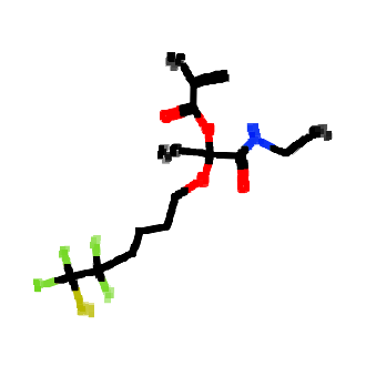 C=C(C(=O)OC(OCCCCC(F)(F)C(F)(F)S)(C(=O)NCC(F)(F)F)C(F)(F)F)C(F)(F)F